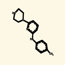 Cc1ccc(Nc2cccc(N3CCNCC3)n2)cc1